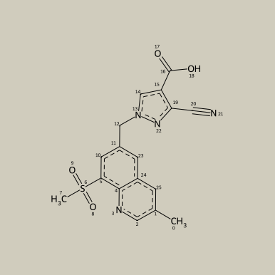 Cc1cnc2c(S(C)(=O)=O)cc(Cn3cc(C(=O)O)c(C#N)n3)cc2c1